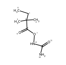 CCC(C)(C)C(=O)ONC(N)=O